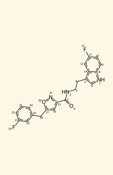 O=C(NCCc1c[nH]c2ccc(F)cc12)c1cc(Cc2cccc(F)c2)on1